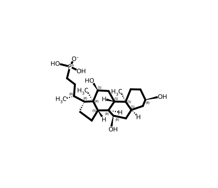 C[C@H](CC[P+]([O-])(O)O)[C@H]1CC[C@H]2[C@@H]3[C@H](O)C[C@@H]4C[C@H](O)CC[C@]4(C)[C@H]3C[C@H](O)[C@]12C